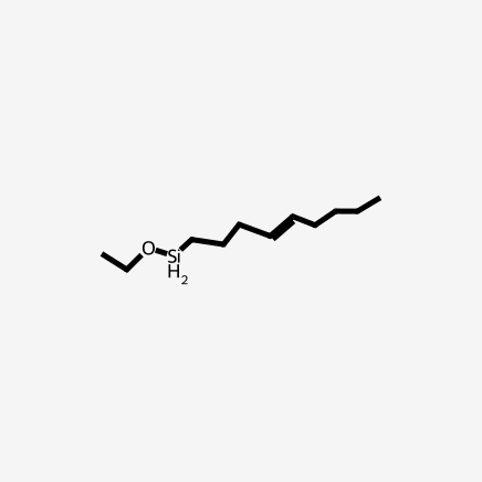 CCCCC=CCCC[SiH2]OCC